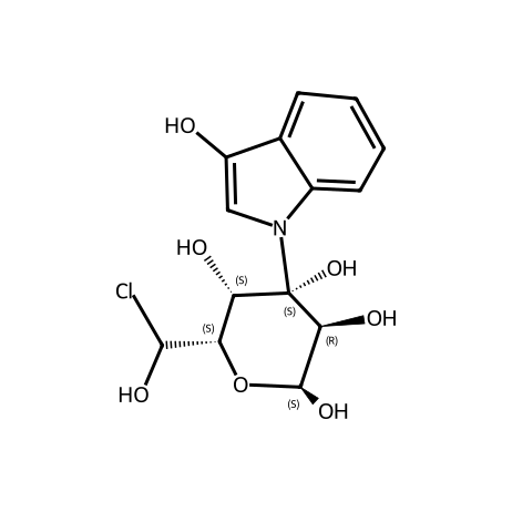 Oc1cn([C@]2(O)[C@@H](O)[C@@H](C(O)Cl)O[C@H](O)[C@@H]2O)c2ccccc12